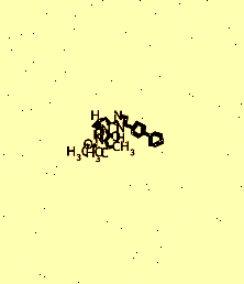 COC(=O)N[C@H](C(=O)N1[C@@H]2C[C@@H]2C[C@H]1c1ncc(-c2ccc(-c3ccccc3)cc2)[nH]1)C(C)C